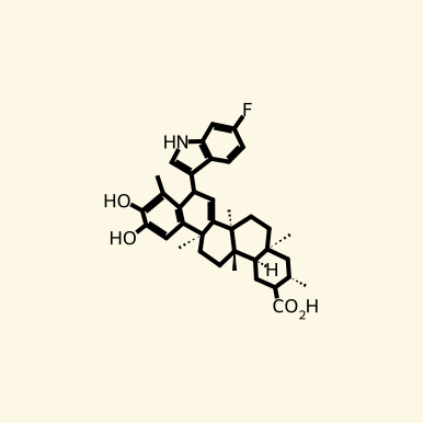 Cc1c(O)c(O)cc2c1C(c1c[nH]c3cc(F)ccc13)C=C1[C@@]2(C)CC[C@@]2(C)[C@@H]3CC(C(=O)O)[C@@H](C)C[C@]3(C)CC[C@]12C